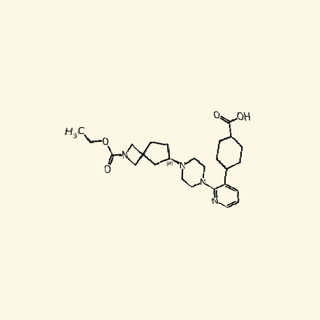 CCOC(=O)N1CC2(CC[C@@H](N3CCN(c4ncccc4C4CCC(C(=O)O)CC4)CC3)C2)C1